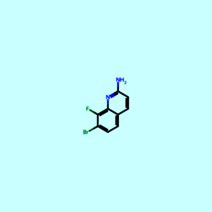 Nc1ccc2ccc(Br)c(F)c2n1